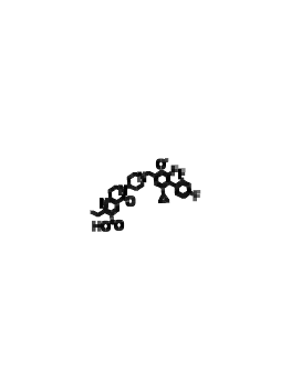 CCc1nc2c(cc1C(=O)O)C(=O)N(C1CCN(Cc3cc(C4CC4)c(-c4ccc(F)cc4F)c(F)c3OC)CC1)CC2